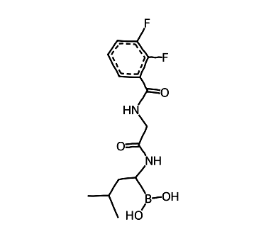 CC(C)CC(NC(=O)CNC(=O)c1cccc(F)c1F)B(O)O